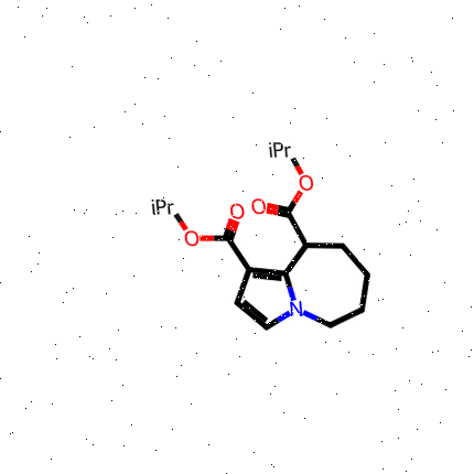 CC(C)OC(=O)c1ccn2c1C(C(=O)OC(C)C)CCCC2